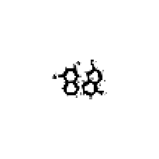 Brc1cc(Br)c2ccccc2c1.Brc1ccc2c(Br)cccc2c1